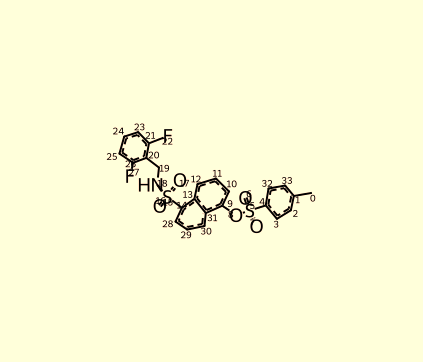 Cc1ccc(S(=O)(=O)Oc2cccc3c(S(=O)(=O)NCc4c(F)cccc4F)cccc23)cc1